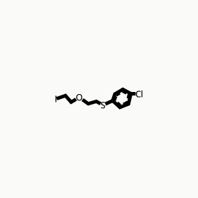 Clc1ccc(SCCOCCI)cc1